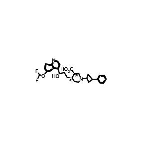 O=C(O)[C@H]1CN(C2CC(c3ccccc3)C2)CC[C@H]1CCC(O)c1ccnc2ccc(OC(F)F)cc12